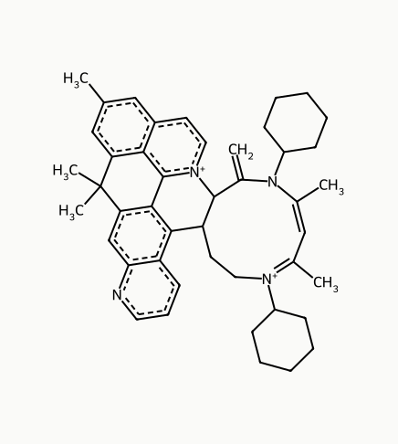 C=C1C2C(CC/[N+](C3CCCCC3)=C(C)\C=C(\C)N1C1CCCCC1)c1c3c(cc4ncccc14)C(C)(C)c1cc(C)cc4cc[n+]2c-3c14